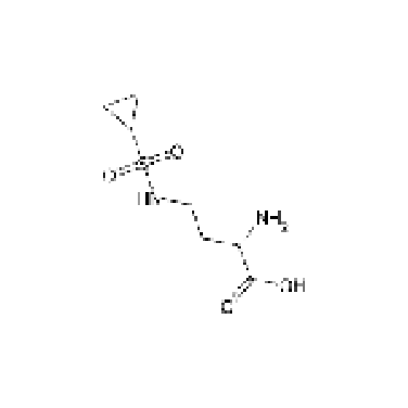 N[C@@H](CCNS(=O)(=O)C1CC1)C(=O)O